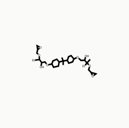 CCC(OCC1CO1)C(O)COC1CCC(C(C)(C)C2CCC(OCC(O)C(C)(CC)OCC3CO3)CC2)CC1